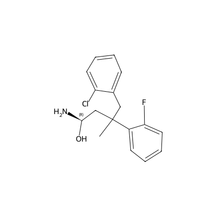 CC(Cc1ccccc1Cl)(C[C@H](N)O)c1ccccc1F